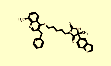 Cc1cccc2c(OCCCCCN3C(=O)NC(C)(c4ccc5c(c4)CCO5)C3=O)c(Cc3ccccc3)cnc12